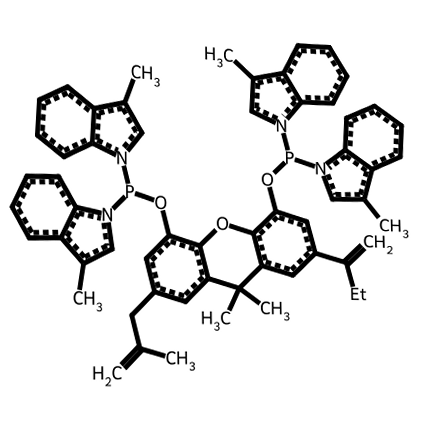 C=C(C)Cc1cc(OP(n2cc(C)c3ccccc32)n2cc(C)c3ccccc32)c2c(c1)C(C)(C)c1cc(C(=C)CC)cc(OP(n3cc(C)c4ccccc43)n3cc(C)c4ccccc43)c1O2